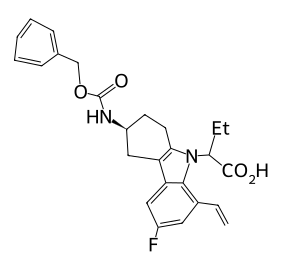 C=Cc1cc(F)cc2c3c(n(C(CC)C(=O)O)c12)CC[C@H](NC(=O)OCc1ccccc1)C3